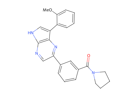 COc1ccccc1-c1c[nH]c2ncc(-c3cccc(C(=O)N4CCCC4)c3)nc12